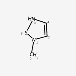 CN1C=CNS1